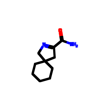 NC(=O)C1=NCC2(CCCCC2)C1